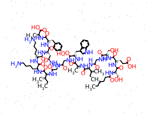 CCCCCC(=O)N[C@@H](CO)C(=O)N[C@@H](CCC(=O)O)C(=O)N[C@@H](CO)C(=O)NCC(=O)N[C@H](C(=O)N[C@@H](C)C(=O)N[C@@H](Cc1c[nH]c2ccccc12)C(=O)NCC(=O)NCC(=O)N[C@H](C(=O)N[C@@H](CCCCN)C(=O)N[C@@H](CCCCN)C(=O)N[C@@H](CC(N)=O)C(=O)N[C@@H](Cc1ccc(O)cc1)C(=O)N[C@@H](C)C(=O)O)[C@@H](C)CC)[C@@H](C)CC